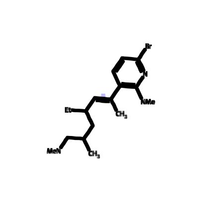 CCC(/C=C(\C)c1ccc(Br)nc1NC)CC(C)CNC